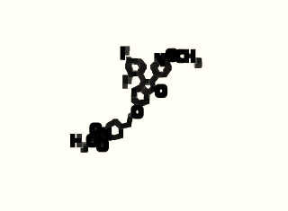 COc1ccc(C2=C(c3ccc(F)cc3F)c3ccc(OCCC4CCN(S(C)(=O)=O)CC4)cc3C2=O)cn1